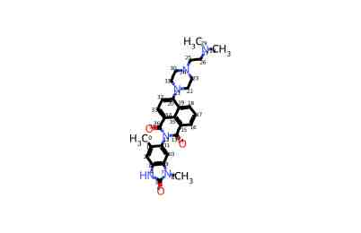 Cc1cc2[nH]c(=O)n(C)c2cc1N1C(=O)c2cccc3c(N4CCN(CCN(C)C)CC4)ccc(c23)C1=O